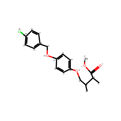 CC(C)OC(=O)C(C)C(C)COc1ccc(OCc2ccc(Cl)cc2)cc1